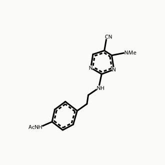 CNc1nc(NCCc2ccc(NC(C)=O)cc2)ncc1C#N